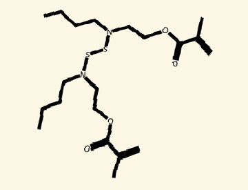 C=C(C)C(=O)OCCN(CCCC)SSN(CCCC)CCOC(=O)C(=C)C